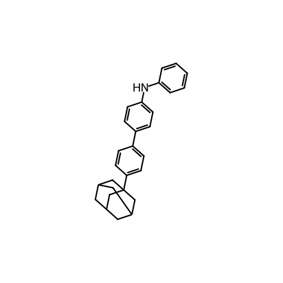 c1ccc(Nc2ccc(-c3ccc(C45CC6CC(CC(C6)C4)C5)cc3)cc2)cc1